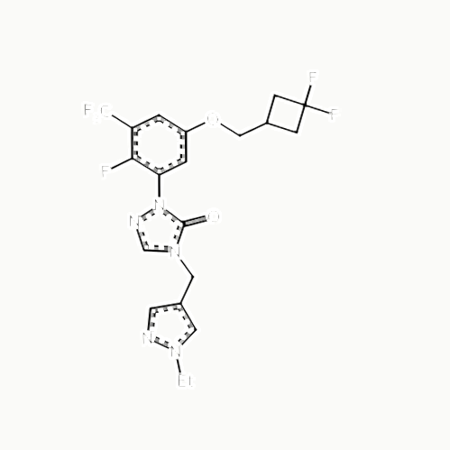 CCn1cc(Cn2cnn(-c3cc(OCC4CC(F)(F)C4)cc(C(F)(F)F)c3F)c2=O)cn1